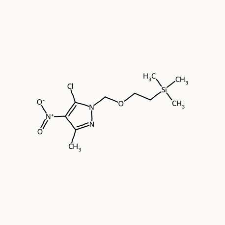 Cc1nn(COCC[Si](C)(C)C)c(Cl)c1[N+](=O)[O-]